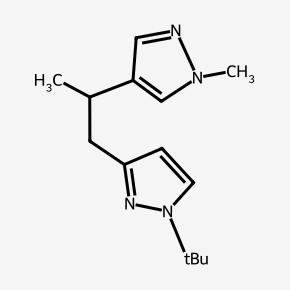 CC(Cc1ccn(C(C)(C)C)n1)c1cnn(C)c1